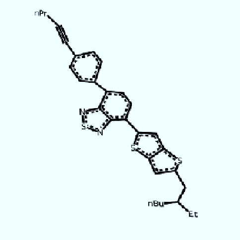 CCCC#Cc1ccc(-c2ccc(-c3cc4sc(CC(CC)CCCC)cc4s3)c3nsnc23)cc1